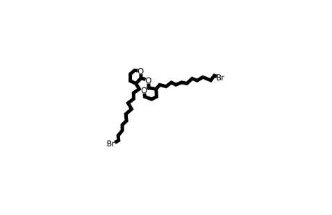 BrCCCCCCCCCCCC1CCCOC1OC1OCCCC1CCCCCCCCCCCBr